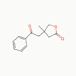 CC1(CC(=O)c2ccccc2)COC(=O)C1